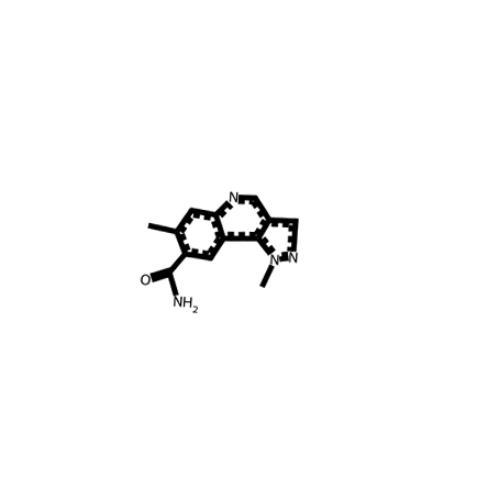 Cc1cc2ncc3cnn(C)c3c2cc1C(N)=O